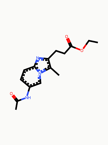 CCOC(=O)CCc1nc2ccc(NC(C)=O)cn2c1C